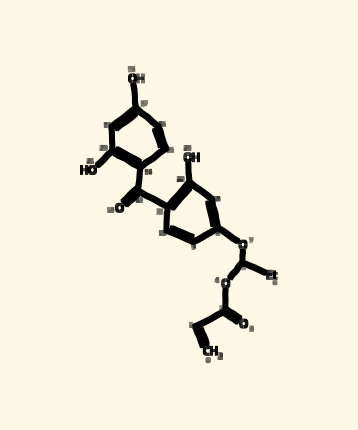 C=CC(=O)OC(CC)Oc1ccc(C(=O)c2ccc(O)cc2O)c(O)c1